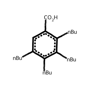 CCCCc1cc(C(=O)O)c(CCCC)c(CCCC)c1CCCC